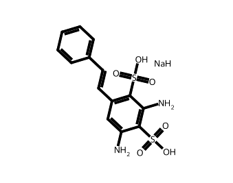 Nc1cc(C=Cc2ccccc2)c(S(=O)(=O)O)c(N)c1S(=O)(=O)O.[NaH]